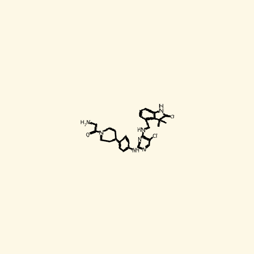 CC1(C)C(=O)Nc2cccc(CNc3nc(Nc4ccc(C5CCN(C(=O)CN)CC5)cc4)ncc3Cl)c21